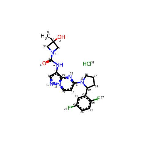 CC1(O)CN(C(=O)Nc2cnn3ccc(N4CCCC4c4cc(F)ccc4F)nc23)C1.Cl